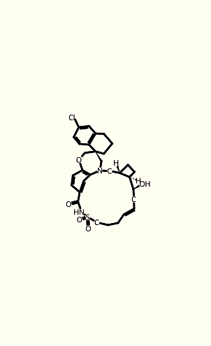 O=C1NS(=O)(=O)CCC/C=C/C[C@H](O)[C@@H]2CC[C@H]2CN2C[C@@]3(CCCc4cc(Cl)ccc43)COc3ccc1cc32